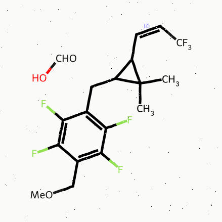 COCc1c(F)c(F)c(CC2C(/C=C\C(F)(F)F)C2(C)C)c(F)c1F.O=CO